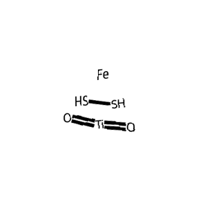 SS.[Fe].[O]=[Ti]=[O]